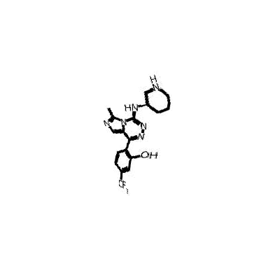 Cc1ncc2c(-c3ccc(C(F)(F)F)cc3O)nnc(N[C@@H]3CCCNC3)n12